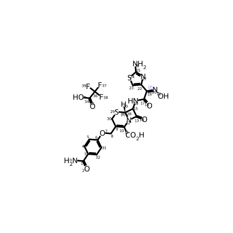 NC(=O)c1ccc(OCC2=C(C(=O)O)N3C(=O)C(NC(=O)/C(=N\O)c4csc(N)n4)[C@H]3SC2)cc1.O=C(O)C(F)(F)F